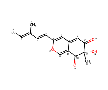 CC[C@H](C)/C=C(C)/C=C/C1=CC2=CC(=O)C(C)(O)C(=O)C2=CO1